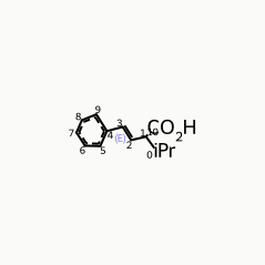 CC(C)C(/C=C/c1ccccc1)C(=O)O